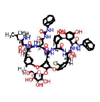 CN[C@H](CC(C)C)C(=O)N[C@H]1C(=O)N[C@@H](CC(=O)NC(=O)NC2C3CC4CC(C3)CC2C4)C(=O)N[C@H]2C(=O)N[C@H]3C(=O)N[C@H](C(=O)N[C@H](C(=O)NC4C5CC6CC(C5)CC4C6)c4cc(O)cc(O)c4-c4cc3ccc4O)[C@H](O)[C@@H]3C=C(Cl)C(=CC3)Oc3cc2cc(c3O[C@@H]2O[C@H](CO)[C@@H](O)[C@H](O)[C@H]2O)Oc2ccc(cc2C)[C@H]1O